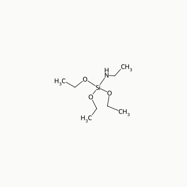 CCN[Si](OCC)(OCC)OCC